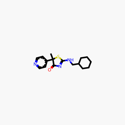 CC1(c2ccncc2)SC(NCC2CCCCC2)=NC1=O